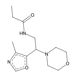 CCC(=O)NCC(c1ocnc1C)N1CCOCC1